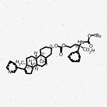 CC(C)(C)OC(=O)N[C@](CCOC(=O)O[C@H]1CC[C@@]2(C)C(=CC[C@@H]3[C@@H]2CC[C@]2(C)C(c4cccnc4)=CC[C@@H]32)C1)(C(=O)O)c1ccccc1